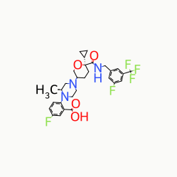 C[C@H]1CN([C@@H]2CC[C@@](C(=O)NCc3cc(F)cc(C(F)(F)F)c3)(C3CC3)OC2)CCN1c1ccc(F)cc1C(=O)O